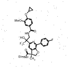 CCNC(=O)[C@@]1(C)COc2c1cc(C(O)(CNC(=O)c1ccc(OC3CC3)c(OC)c1)C(F)(F)F)nc2-c1ccc(F)cc1